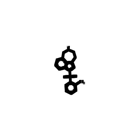 Cc1ccccc1S(=O)(=O)n1cc2c3c(cccc31)CNCC2